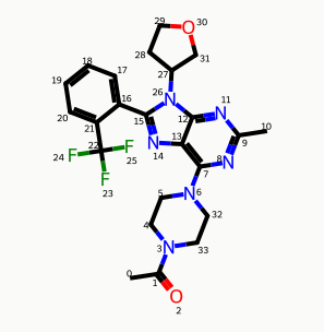 CC(=O)N1CCN(c2nc(C)nc3c2nc(-c2ccccc2C(F)(F)F)n3C2CCOC2)CC1